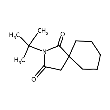 CC(C)(C)N1C(=O)CC2(CCCCC2)C1=O